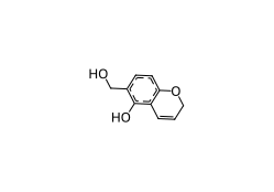 OCc1ccc2c(c1O)C=CCO2